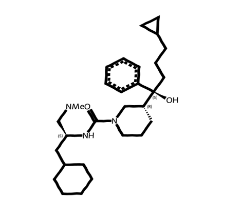 CNC[C@H](CC1CCCCC1)NC(=O)N1CCC[C@@H]([C@@](O)(CCCC2CC2)c2ccccc2)C1